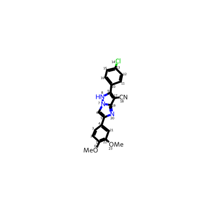 COc1ccc(-c2cn3[nH]c(-c4ccc(Cl)cc4)c(C#N)c3n2)cc1OC